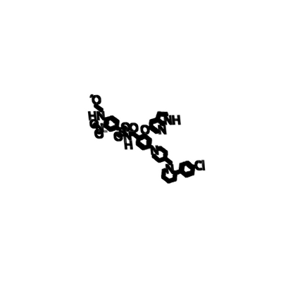 COCCNc1ccc(S(=O)(=O)NC(=O)c2ccc(N3CCC(CN4CCCCC4c4ccc(Cl)cc4)CC3)cc2Oc2cnc3[nH]ccc3c2)cc1[N+](=O)[O-]